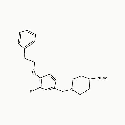 CC(=O)NC1CCN(Cc2ccc(OCCc3ccccc3)c(F)c2)CC1